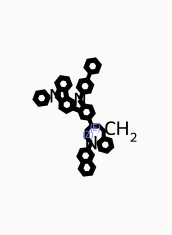 C=C1/C=C(c2ccc3c(c2)c2ccc4c(c5ccccc5n4-c4ccccc4)c2n3-c2ccc(-c3ccccc3)cc2)\C=C/N(c2ccc3ccccc3c2)c2ccccc21